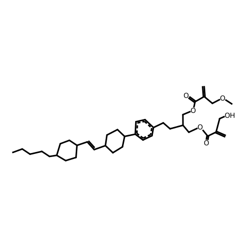 C=C(CO)C(=O)OCC(CCc1ccc(C2CCC(/C=C/C3CCC(CCCCC)CC3)CC2)cc1)COC(=O)C(=C)COC